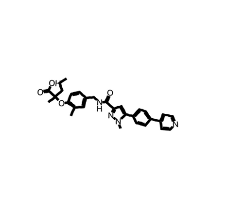 CCCC(C)(Oc1ccc(CNC(=O)c2cc(-c3ccc(-c4ccncc4)cc3)n(C)n2)cc1C)C(=O)O